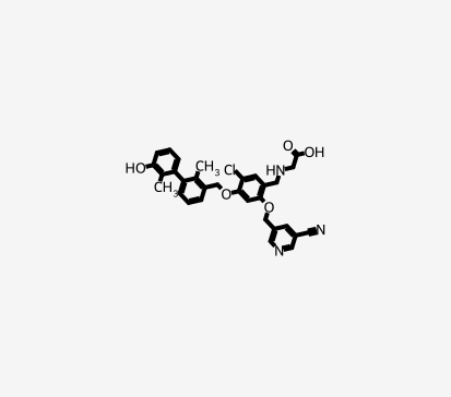 Cc1c(O)cccc1-c1cccc(COc2cc(OCc3cncc(C#N)c3)c(CNCC(=O)O)cc2Cl)c1C